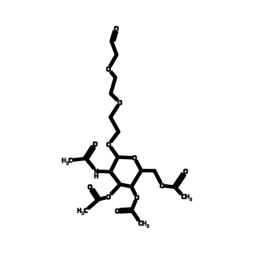 CC(=O)NC1C(OCCOCCOCC=O)OC(COC(C)=O)C(OC(C)=O)C1OC(C)=O